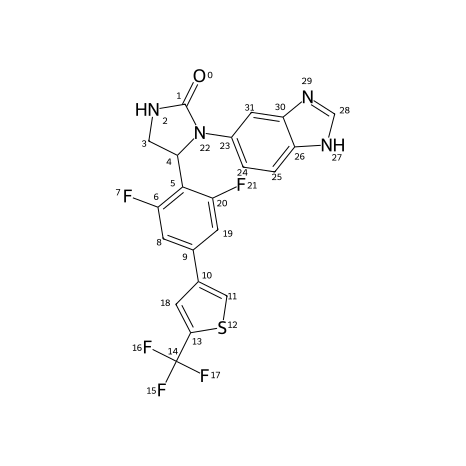 O=C1NCC(c2c(F)cc(-c3csc(C(F)(F)F)c3)cc2F)N1c1ccc2[nH]cnc2c1